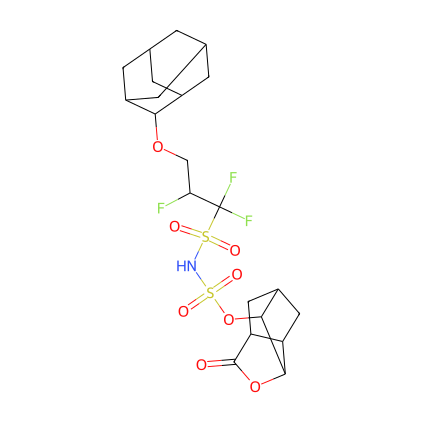 O=C1OC2C3CC(CC13)C2OS(=O)(=O)NS(=O)(=O)C(F)(F)C(F)COC1C2CC3CC(C2)CC1C3